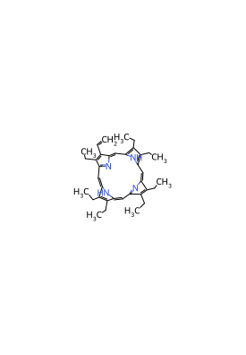 C=CC1=C(CC)c2cc3[nH]c(cc4nc(cc5[nH]c(cc1n2)c(CC)c5CC)C(CC)=C4CC)c(CC)c3CC